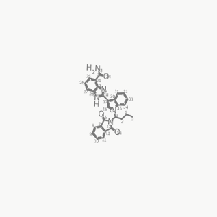 CCCC(N1C(=O)c2ccccc2C1=O)n1cc(-c2nc3c(C(N)=O)cccc3[nH]2)c2ccccc21